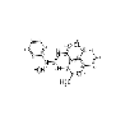 CCc1nc(N(N)c2ccccc2)nc(=O)n1-c1c(Cl)cccc1Cl